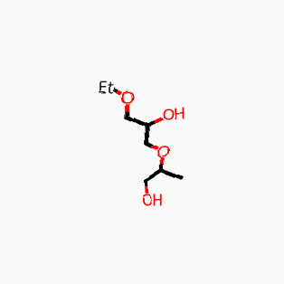 CCOCC(O)COC(C)CO